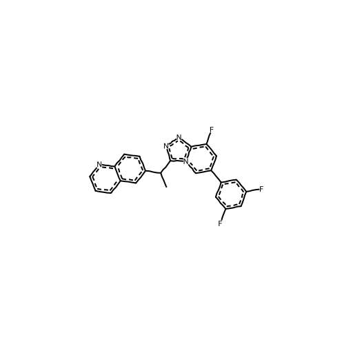 CC(c1ccc2ncccc2c1)c1nnc2c(F)cc(-c3cc(F)cc(F)c3)cn12